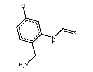 NCc1ccc(Cl)cc1N[C]=S